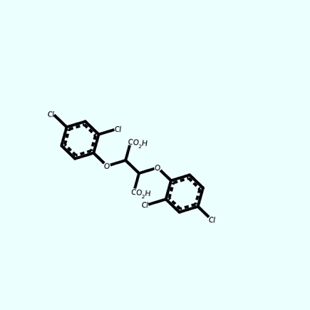 O=C(O)C(Oc1ccc(Cl)cc1Cl)C(Oc1ccc(Cl)cc1Cl)C(=O)O